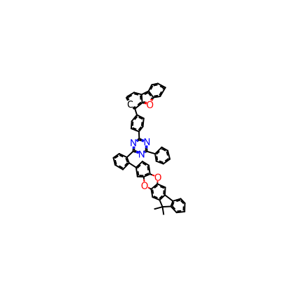 CC1(C)c2ccccc2-c2cc3c(cc21)Oc1cc(-c2ccccc2-c2nc(-c4ccccc4)nc(-c4ccc(-c5cccc6c5oc5ccccc56)cc4)n2)ccc1O3